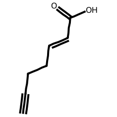 C#CCC/C=C/C(=O)O